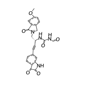 COc1ccc2c(c1)C(=O)N(C[C@@H](C#Cc1ccc3c(c1)NC(=O)C3=O)NC(=O)NC=O)C2